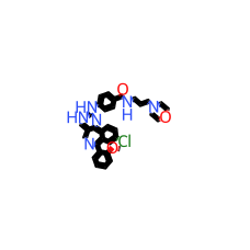 COc1ccccc1C1=c2cc(Cl)ccc2=C2N=C(Nc3ccc(C(=O)NCCCN4CCOCC4)cc3)NC=C2C=N1